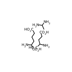 CC(N)N.NC(CCC(=O)O)C(=O)O.NC(CCCC(=O)O)C(=O)O